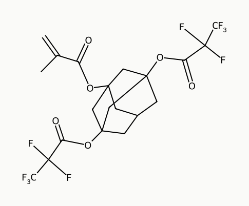 C=C(C)C(=O)OC12CC3CC(OC(=O)C(F)(F)C(F)(F)F)(C1)CC(OC(=O)C(F)(F)C(F)(F)F)(C3)C2